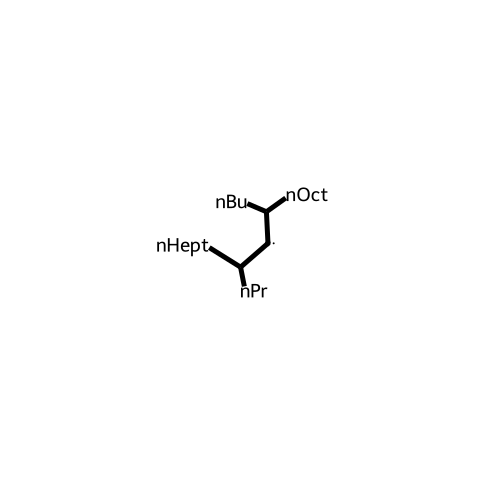 CCCCCCCCC([CH]C(CCC)CCCCCCC)CCCC